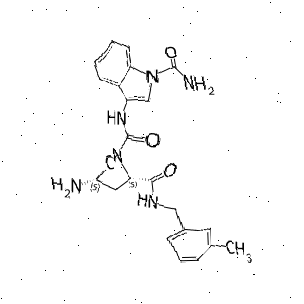 Cc1cccc(CNC(=O)[C@@H]2C[C@H](N)CN2C(=O)Nc2cn(C(N)=O)c3ccccc23)c1